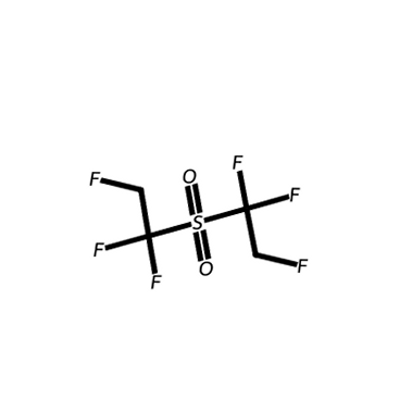 O=S(=O)(C(F)(F)CF)C(F)(F)CF